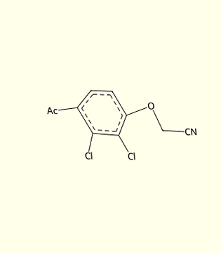 CC(=O)c1ccc(OCC#N)c(Cl)c1Cl